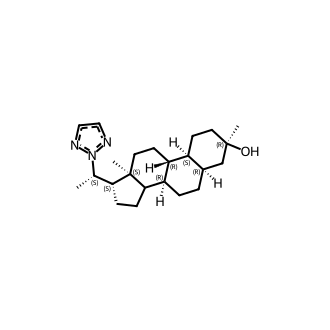 C[C@@H]([C@H]1CCC2[C@@H]3CC[C@@H]4C[C@](C)(O)CC[C@@H]4[C@H]3CC[C@@]21C)n1nccn1